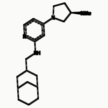 CN[C@@H]1CCN(c2ccnc(NCC3CC4CCCC(C4)C3)c2)C1